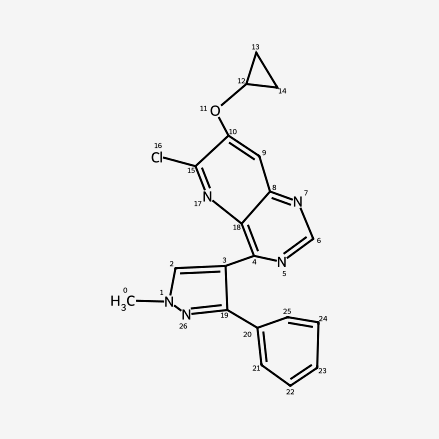 Cn1cc(-c2ncnc3cc(OC4CC4)c(Cl)nc23)c(-c2ccccc2)n1